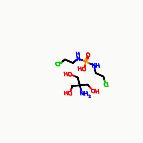 NC(CO)(CO)CO.O=P(O)(NCCCl)NCCCl